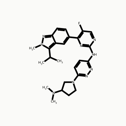 CC(C)c1c2cc(-c3nc(Nc4ccc(N5CCC(N(C)C)C5)nn4)ncc3F)ccc2nn1C